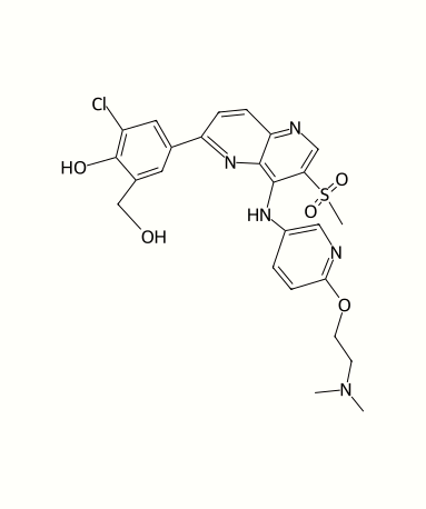 CN(C)CCOc1ccc(Nc2c(S(C)(=O)=O)cnc3ccc(-c4cc(Cl)c(O)c(CO)c4)nc23)cn1